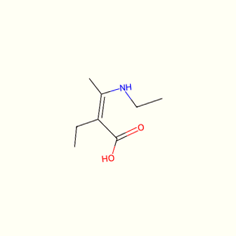 CCNC(C)=C(CC)C(=O)O